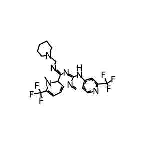 C=N/C(=N\C(=N/CN1CCCCC1)C1C=CC=C(C(F)(F)F)N1C)Nc1ccnc(C(F)(F)F)c1